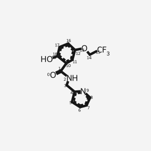 O=C(NCc1ccccn1)c1cc(OCC(F)(F)F)ccc1O